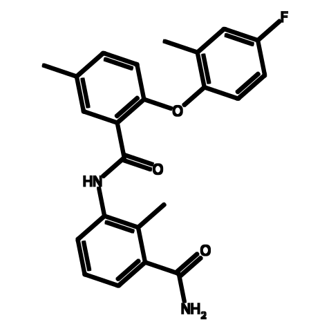 Cc1ccc(Oc2ccc(F)cc2C)c(C(=O)Nc2cccc(C(N)=O)c2C)c1